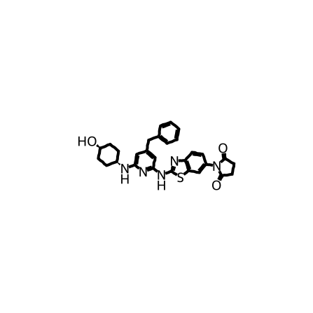 O=C1CCC(=O)N1c1ccc2nc(Nc3cc(Cc4ccccc4)cc(N[C@H]4CC[C@H](O)CC4)n3)sc2c1